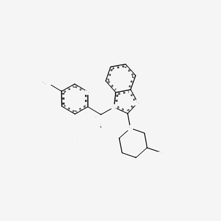 CC[C@H](c1ccc(C#N)cn1)n1c(N2CCCC(N)C2)nc2ccccc21.Cl